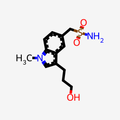 Cn1cc(CCCO)c2cc(CS(N)(=O)=O)ccc21